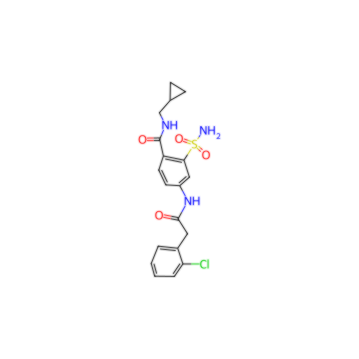 NS(=O)(=O)c1cc(NC(=O)Cc2ccccc2Cl)ccc1C(=O)NCC1CC1